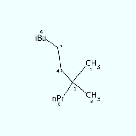 CCCC(C)(C)[CH]CC(C)CC